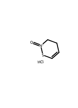 Cl.O=[N+]1CCC=CS1